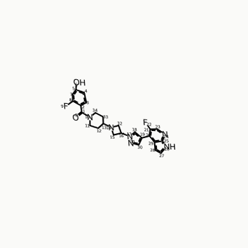 O=C(c1ccc(O)cc1F)N1CCC(N2C[C](n3cc(-c4c(F)cnc5[nH]ccc45)cn3)C2)CC1